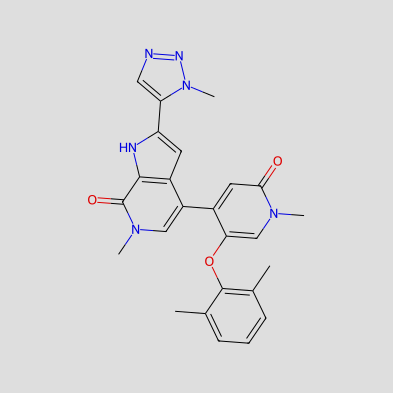 Cc1cccc(C)c1Oc1cn(C)c(=O)cc1-c1cn(C)c(=O)c2[nH]c(-c3cnnn3C)cc12